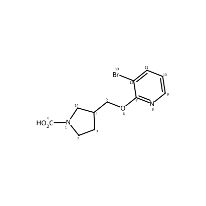 O=C(O)N1CCC(COc2ncccc2Br)C1